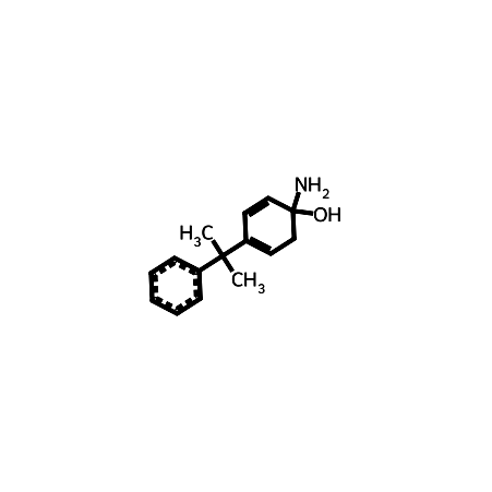 CC(C)(C1=CCC(N)(O)C=C1)c1ccccc1